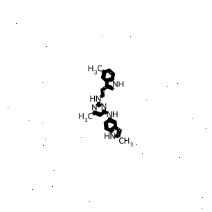 Cc1ccc2[nH]cc(CCNc3nc(C)cc(Nc4ccc5[nH]c(C)cc5c4)n3)c2c1